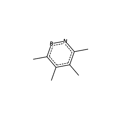 Cc1bnc(C)c(C)c1C